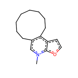 C[n+]1cc2c(c3ccoc31)CCCCCCCC2